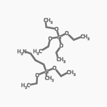 CCO[Si](C)(CCCN)OCC.CCO[Si](OCC)(OCC)OCC